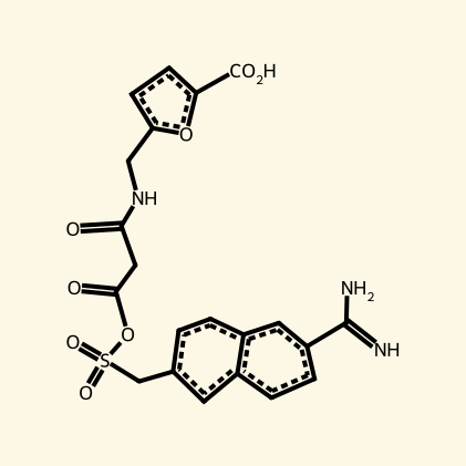 N=C(N)c1ccc2cc(CS(=O)(=O)OC(=O)CC(=O)NCc3ccc(C(=O)O)o3)ccc2c1